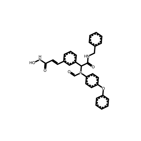 O=CN(c1ccc(Oc2ccccc2)cc1)C(C(=O)NCc1ccccc1)c1cccc(/C=C/C(=O)NO)c1